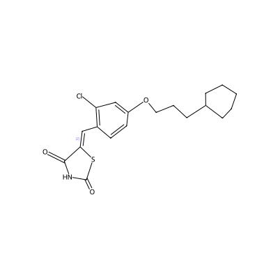 O=C1NC(=O)/C(=C/c2ccc(OCCCC3CCCCC3)cc2Cl)S1